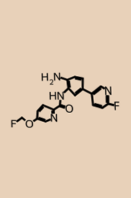 Nc1ccc(-c2ccc(F)nc2)cc1NC(=O)c1ccc(OCF)cn1